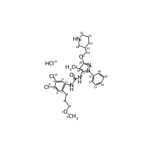 COCCCc1cc(Cl)c(Cl)cc1NC(=O)Nc1c(C)c(OCC2CCCNC2)nn1-c1ccccc1.Cl